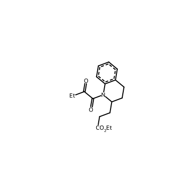 CCOC(=O)CCC1CCc2ccccc2N1C(=O)C(=O)CC